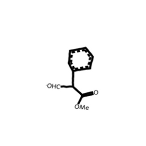 COC(=O)C([C]=O)c1ccccc1